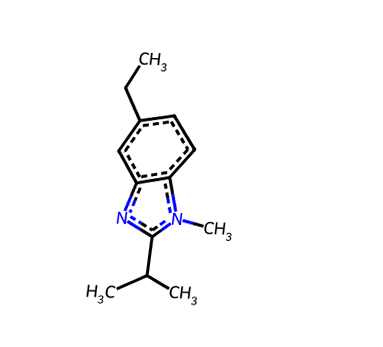 CCc1ccc2c(c1)nc(C(C)C)n2C